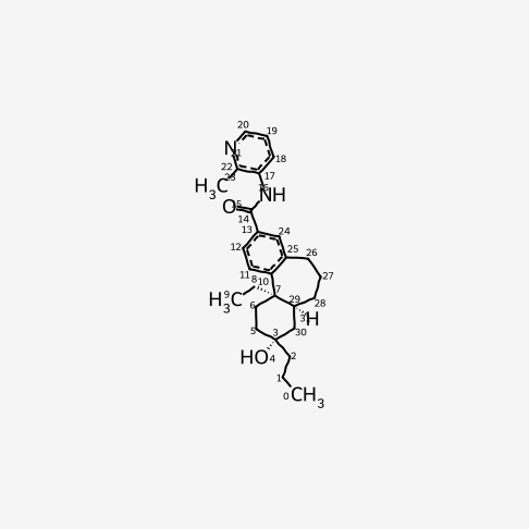 CCC[C@@]1(O)CC[C@@]2(CC)c3ccc(C(=O)Nc4cccnc4C)cc3CCC[C@H]2C1